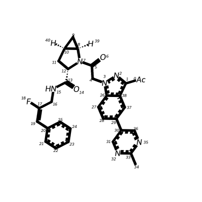 CC(=O)c1nn(CC(=O)N2[C@@H]3C[C@@H]3C[C@H]2C(=O)NC/C(F)=C\c2ccccc2)c2ccc(-c3cnc(C)nc3)cc12